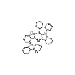 c1ccc(B2c3oc4ccccc4c3N(c3ncnc4c3sc3ccccc34)c3c2n(-c2ccccc2)c2ccccc32)cc1